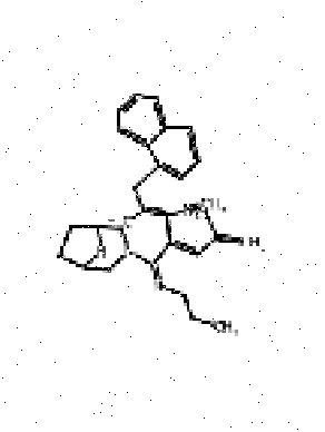 C=NC(=C(C)Cc1cccc2ccccc12)C(=C\C(=C)Cl)/C(=N\CCC)N1CC2CCC(C1)N2